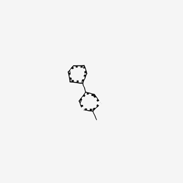 Brc1ncc(-c2ccccc2)cn1